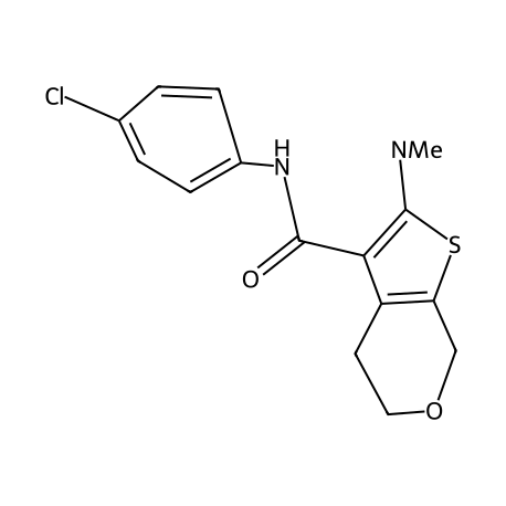 CNc1sc2c(c1C(=O)Nc1ccc(Cl)cc1)CCOC2